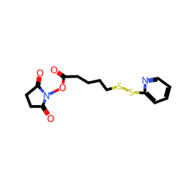 O=C(CCCCSSc1ccccn1)ON1C(=O)CCC1=O